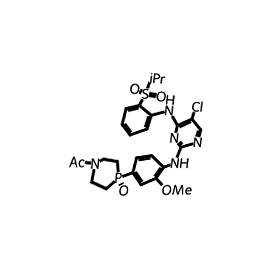 COc1cc(P2(=O)CCN(C(C)=O)CC2)ccc1Nc1ncc(Cl)c(Nc2ccccc2S(=O)(=O)C(C)C)n1